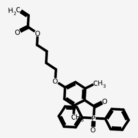 C=CC(=O)OCCCCOc1cc(C)c(C(=O)P(=O)(c2ccccc2)c2ccccc2)c(C)c1